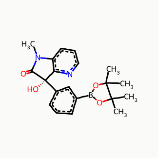 CN1C(=O)[C@](O)(c2cccc(B3OC(C)(C)C(C)(C)O3)c2)c2ncccc21